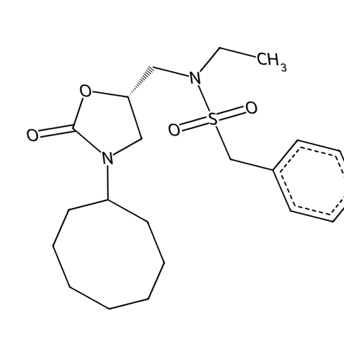 CCN(C[C@@H]1CN(C2CCCCCCC2)C(=O)O1)S(=O)(=O)Cc1ccccc1